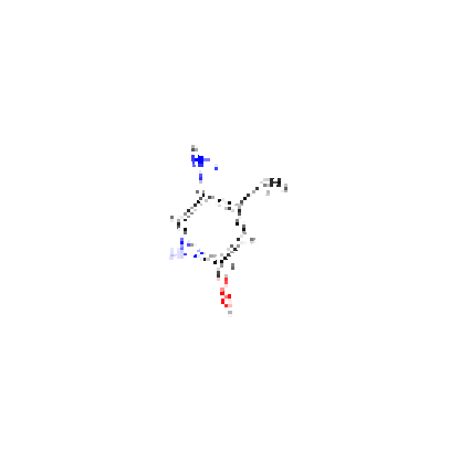 Cc1cc(=O)[nH]cc1N